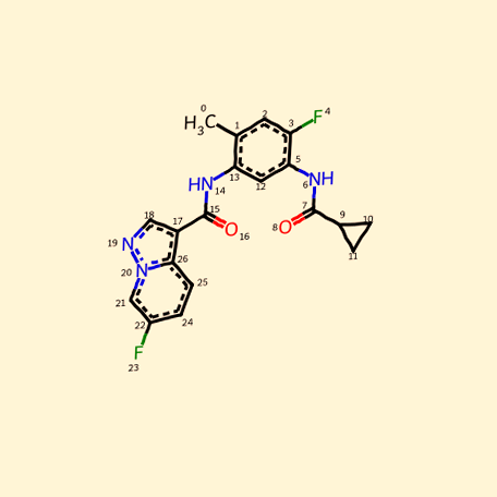 Cc1cc(F)c(NC(=O)C2CC2)cc1NC(=O)c1cnn2cc(F)ccc12